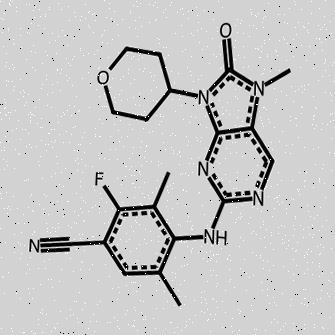 Cc1cc(C#N)c(F)c(C)c1Nc1ncc2c(n1)n(C1CCOCC1)c(=O)n2C